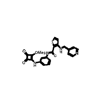 COc1c(Nc2cccc(NC(=O)c3sccc3NCc3ccncc3)c2)c(=O)c1=O